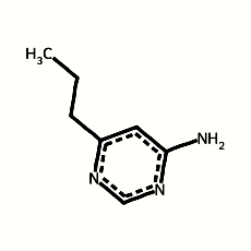 CCCc1cc(N)ncn1